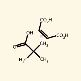 CC(C)(C)C(=O)O.O=C(O)/C=C\C(=O)O